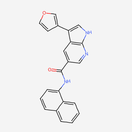 O=C(Nc1cccc2ccccc12)c1cnc2[nH]cc(-c3ccoc3)c2c1